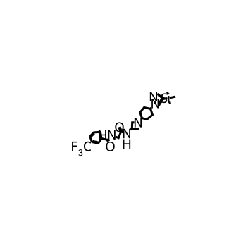 C[Si](C)(C)c1cnn(C2CCC(N3CC(NC(=O)CNC(=O)c4cccc(C(F)(F)F)c4)C3)CC2)c1